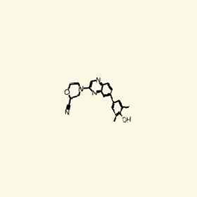 Cc1cc(-c2ccc3ncc(N4CCOC(C#N)C4)nc3c2)cc(C)c1O